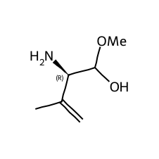 C=C(C)[C@@H](N)C(O)OC